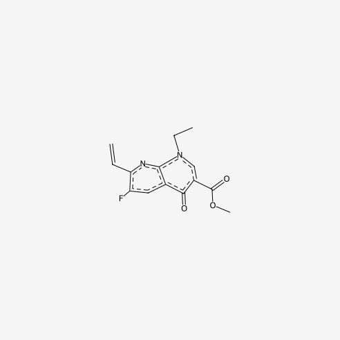 C=Cc1nc2c(cc1F)c(=O)c(C(=O)OC)cn2CC